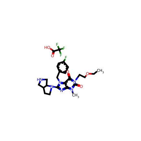 CCOCCn1c(=O)c2c(nc(N3CCC4CNCC43)n2Cc2ccc(F)cc2)n(C)c1=O.O=C(O)C(F)(F)F